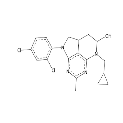 Cc1nc2c3c(n1)N(CC1CC1)C(O)CC3CN2c1ccc(Cl)cc1Cl